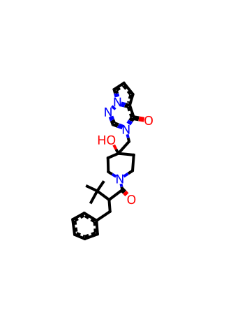 CC(C)(C)C(Cc1ccccc1)C(=O)N1CCC(O)(Cn2cnn3cccc3c2=O)CC1